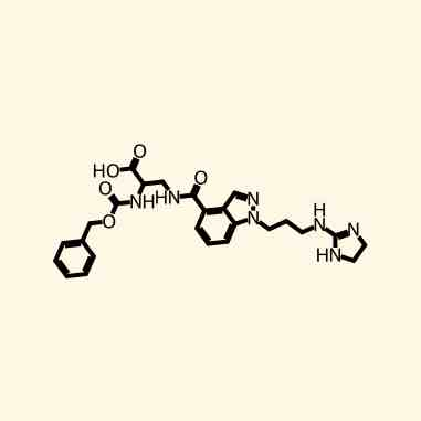 O=C(NC(CNC(=O)c1cccc2c1cnn2CCCNC1=NCCN1)C(=O)O)OCc1ccccc1